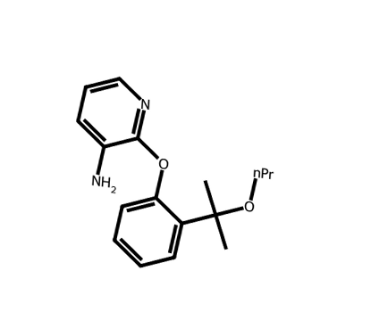 CCCOC(C)(C)c1ccccc1Oc1ncccc1N